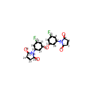 O=C1C=CC(=O)N1c1cc(F)cc(Oc2cc(F)cc(N3C(=O)C=CC3=O)c2)c1